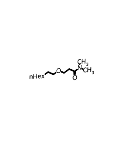 CCCCCCCCOCCC(=O)N(C)C